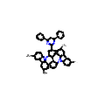 CC(C)(C)c1ccc2c(c1)c1cc(C(C)(C)C)ccc1n2-c1ccccc1-c1ccc(-c2nc(-c3ccccc3)cc(-c3ccccc3)n2)cc1-n1c2ccc(C(C)(C)C)cc2c2cc(C(C)(C)C)ccc21